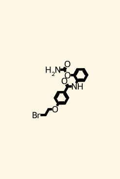 NC(=O)Oc1ccccc1NC(=O)c1ccc(OCCBr)cc1